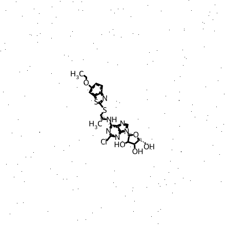 CCOc1ccc2nc(SC[C@@H](C)Nc3nc(Cl)nc4c3ncn4[C@@H]3O[C@H](CO)C(O)C3O)sc2c1